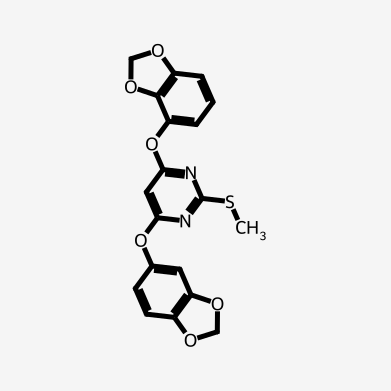 CSc1nc(Oc2ccc3c(c2)OCO3)cc(Oc2cccc3c2OCO3)n1